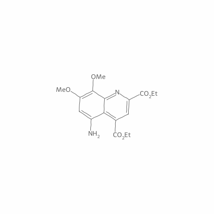 CCOC(=O)c1cc(C(=O)OCC)c2c(N)cc(OC)c(OC)c2n1